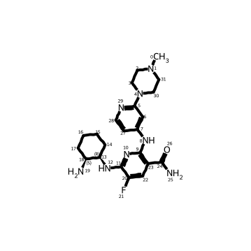 CN1CCN(c2cc(Nc3nc(N[C@@H]4CCCC[C@@H]4N)c(F)cc3C(N)=O)ccn2)CC1